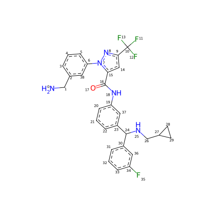 NCc1cccc(-n2nc(C(F)(F)F)cc2C(=O)Nc2cccc(C(NCC3CC3)c3cccc(F)c3)c2)c1